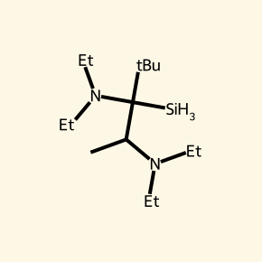 CCN(CC)C(C)C([SiH3])(N(CC)CC)C(C)(C)C